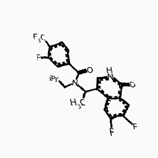 CC(C)CN(C(=O)c1ccc(C(F)(F)F)c(F)c1)C(C)c1c[nH]c(=O)c2cc(F)c(F)cc12